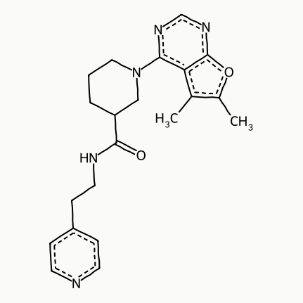 Cc1oc2ncnc(N3CCCC(C(=O)NCCc4ccncc4)C3)c2c1C